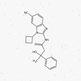 CC(O)(CC(=O)Nc1nc2ccc(C#N)cc2n1C1CCC1)c1ccccc1